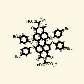 CCCC(C(=O)O)N1C(=O)c2cc(Oc3ccc(C(C)(C)C)cc3)c3c4c(Oc5ccc(C(C)(C)C)cc5)cc5c6c(cc(Oc7ccc(C(C)(C)C)cc7)c(c7c(Oc8ccc(C(C)(C)C)cc8)cc(c2c37)C1=O)c64)C(=O)N(C(CCC)C(=O)O)C5=O